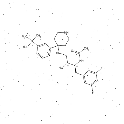 CC(=O)N[C@@H](Cc1cc(F)cc(F)c1)[C@H](O)CNC1(c2cccc(C(C)(C)C)c2)CCNCC1